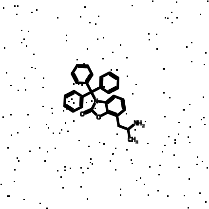 CC(N)Cc1cccc2c1oc(=O)n2C(c1ccccc1)(c1ccccc1)c1ccccc1